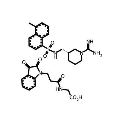 Cc1cccc2c(S(=O)(=O)NC[C@H]3CCCN(C(=N)N)C3)cccc12.O=C(O)CNC(=O)CCN1C(=O)C(=O)c2ccccc21